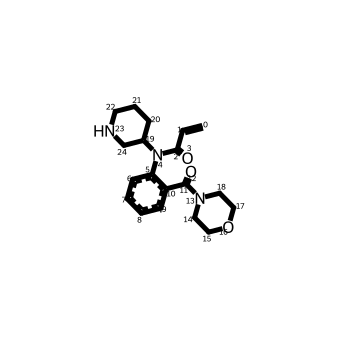 C=CC(=O)N(c1ccc[c]c1C(=O)N1CCOCC1)C1CCCNC1